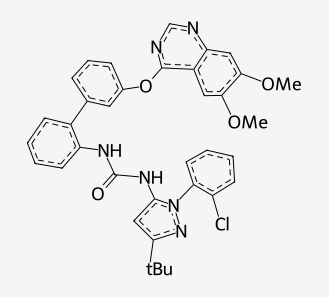 COc1cc2ncnc(Oc3cccc(-c4ccccc4NC(=O)Nc4cc(C(C)(C)C)nn4-c4ccccc4Cl)c3)c2cc1OC